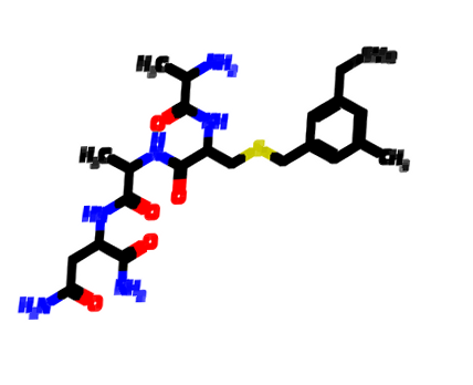 CSCc1cc(C)cc(CSCC(NC(=O)C(C)N)C(=O)NC(C)C(=O)NC(CC(N)=O)C(N)=O)c1